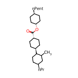 CCCCC[C@H]1CC[C@H](OC(=O)[C@H]2CC[C@H](C3CCC(CCC)CC3C)CC2)CC1